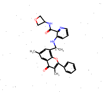 Cc1cc([C@@H](C)Nc2cccnc2C(=O)NC2COC2)c2oc(-c3ccccc3)c(C)c(=O)c2c1